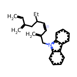 C=CC(=C)CC(/C=C\C(=C)Cn1c2ccccc2c2ccccc21)CC